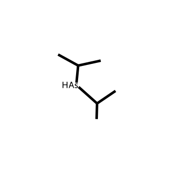 CC(C)[AsH]C(C)C